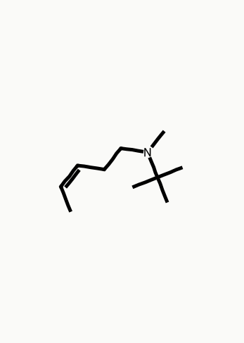 C/C=C\CCN(C)C(C)(C)C